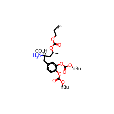 CCCCOC(=O)Oc1ccc(C[C@](N)(C[C@H](C)OC(=O)OCCC(C)C)C(=O)O)cc1OC(=O)OCCCC